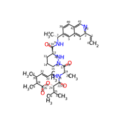 C=Cc1cc2cc([C@@H](C)NC(=O)[C@@H]3CCCN(C(=O)[C@H](C)NC(=O)[C@@H](OC(=O)C(C)C(C)/C=C/C)C(C)C)N3)ccc2cn1